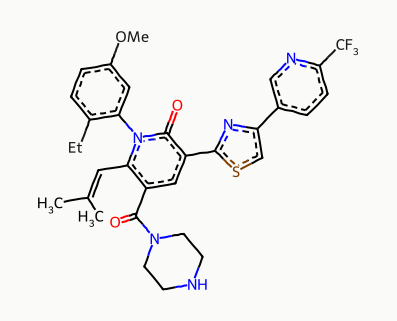 CCc1ccc(OC)cc1-n1c(C=C(C)C)c(C(=O)N2CCNCC2)cc(-c2nc(-c3ccc(C(F)(F)F)nc3)cs2)c1=O